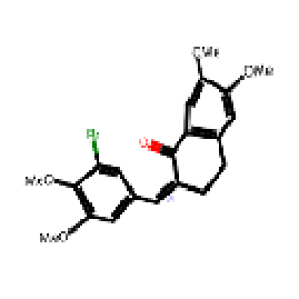 COc1cc2c(cc1OC)C(=O)/C(=C\c1cc(Br)c(OC)c(OC)c1)CC2